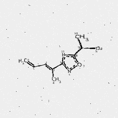 C=C/C=C(\C)c1noc([C@@H](C)C(C)(C)C)n1